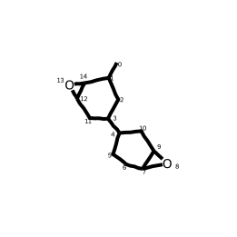 CC1CC(C2CCC3OC3C2)CC2OC12